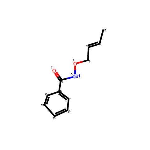 C/C=C/CONC(=O)c1ccccc1